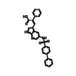 O=C(O)C(=Cc1c[nH]c2ncc(NS(=O)(=O)c3ccc(-c4ccccc4)cc3)cc12)c1ccccc1